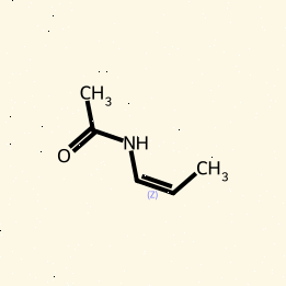 C/C=C\NC(C)=O